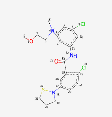 COCCN(C)c1cc(Cl)cc(NC(=O)c2cc(N3CCCS3)ccc2Cl)c1